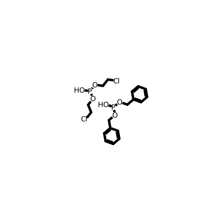 OP(OCCCl)OCCCl.OP(OCc1ccccc1)OCc1ccccc1